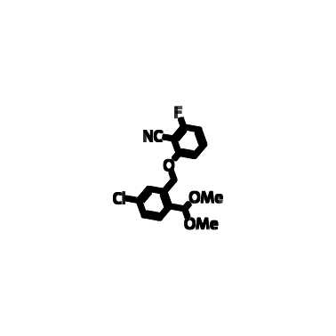 COC(OC)c1ccc(Cl)cc1COc1cccc(F)c1C#N